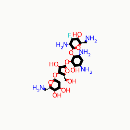 NC[C@@H]1O[C@H](O[C@H]2[C@@H](O)[C@H](O[C@@H]3[C@@H](O)[C@H](N)C[C@H](N)[C@H]3O[C@H]3O[C@H](CN)[C@@H](O)[C@@H](F)[C@H]3N)O[C@@H]2CO)C[C@@H](O)[C@@H]1O